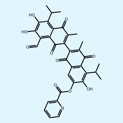 CC1=C(C2=C(C)C(=O)c3c(c(C=O)c(O)c(O)c3C(C)C)C2=O)C(=O)c2cc(OC(=O)c3ccccn3)c(O)c(C(C)C)c2C1=O